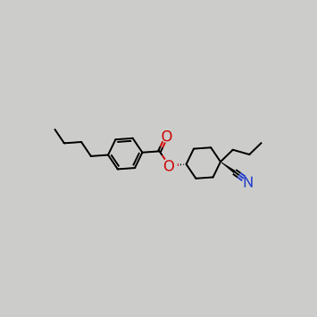 CCCCc1ccc(C(=O)O[C@H]2CC[C@@](C#N)(CCC)CC2)cc1